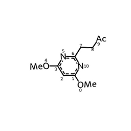 COc1cc(OC)nc(CCC(C)=O)n1